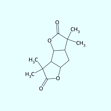 CC1(C)C(=O)OC2C1CC1OC(=O)C(C)(C)C12